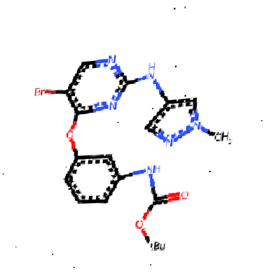 Cn1cc(Nc2ncc(Br)c(Oc3cccc(NC(=O)OC(C)(C)C)c3)n2)cn1